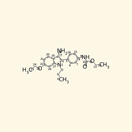 CCCn1c(-c2ccc(NC(=O)OCC)cc2)c(N)c2ccc(OCC)cc21